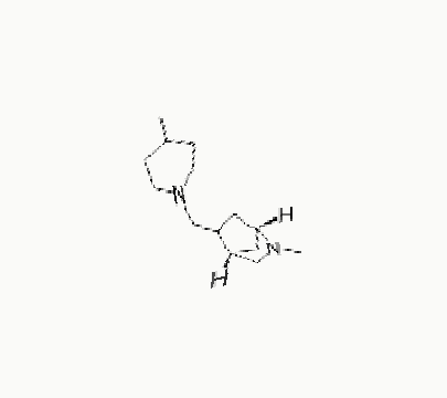 CC1CCN(CC2C[C@H]3C[C@@H]2CN3C)CC1